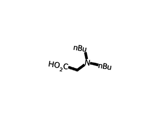 CCCCN(CCCC)CC(=O)O